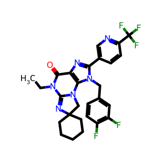 CCN1C(=O)c2nc(-c3ccc(C(F)(F)F)nc3)n(Cc3ccc(F)c(F)c3)c2N2CC3(CCCCC3)N=C12